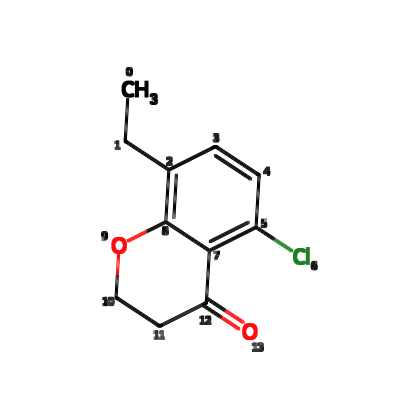 CCc1ccc(Cl)c2c1OCCC2=O